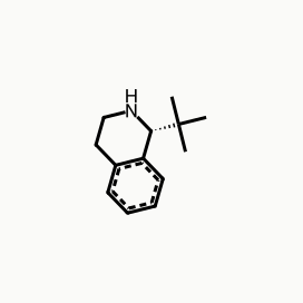 CC(C)(C)[C@H]1NCCc2ccccc21